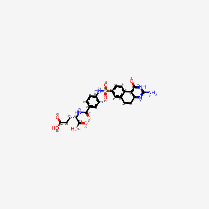 Nc1nc2c(c(=O)[nH]1)-c1ccc(S(=O)(=O)Nc3ccc(C(=O)N[C@@H](CCC(=O)O)C(=O)O)cc3)cc1CC2